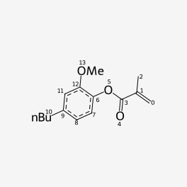 C=C(C)C(=O)Oc1ccc(CCCC)cc1OC